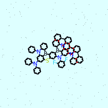 Fc1cccc(F)c1N1c2cc3c(cc2B2c4ccccc4N(c4c(-c5ccccc5)cccc4-c4ccccc4)c4cc(N(c5ccccc5)c5c(-c6ccccc6)cccc5-c5ccccc5)cc1c42)B1c2ccccc2N(c2ccccc2)c2cc(N(c4ccccc4)c4ccccc4)cc(c21)S3